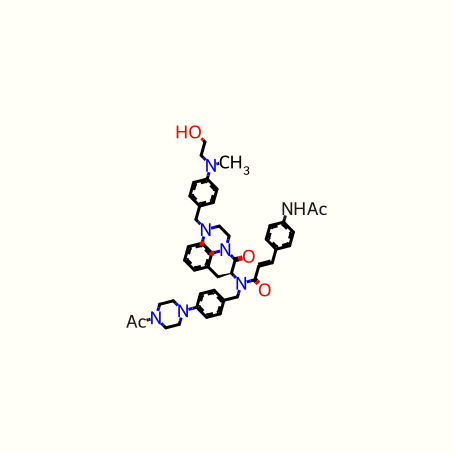 CC(=O)Nc1ccc(C=CC(=O)N(Cc2ccc(N3CCN(C(C)=O)CC3)cc2)[C@@H](Cc2ccccc2)C(=O)N2CCN(Cc3ccc(N(C)CCO)cc3)CC2)cc1